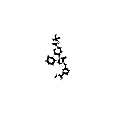 COC(=O)c1ccc(CN2C[C@@H](c3ccccc3)N(C3CCN(C(=O)OC(C)(C)C)CC3)C2=O)s1